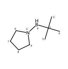 CC(C)(C)BN1CCCC1